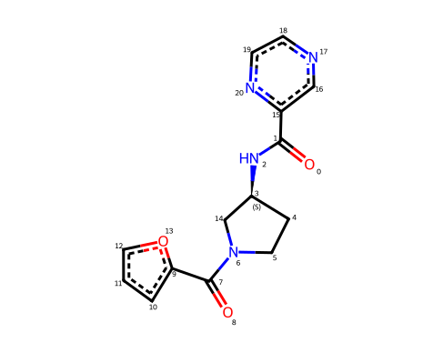 O=C(N[C@H]1CCN(C(=O)c2ccco2)C1)c1cnccn1